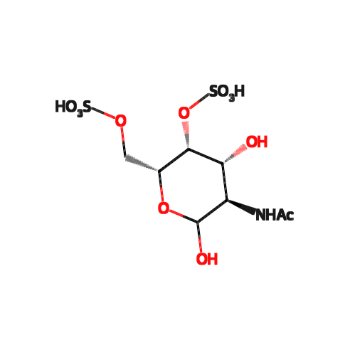 CC(=O)N[C@H]1C(O)O[C@H](COS(=O)(=O)O)[C@H](OS(=O)(=O)O)[C@@H]1O